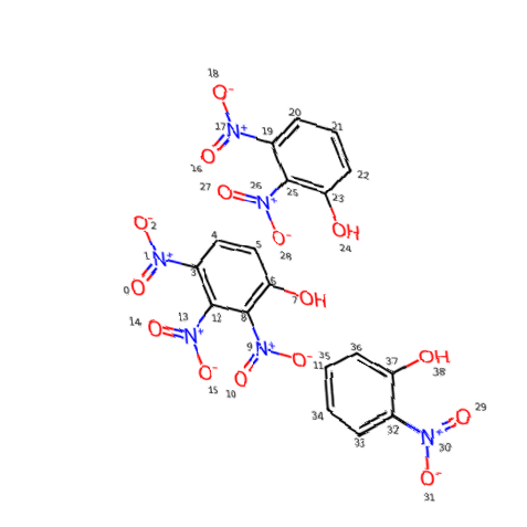 O=[N+]([O-])c1ccc(O)c([N+](=O)[O-])c1[N+](=O)[O-].O=[N+]([O-])c1cccc(O)c1[N+](=O)[O-].O=[N+]([O-])c1ccccc1O